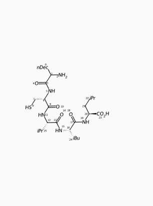 CCCCCCCCCCC(N)C(=O)N[C@@H](CS)C(=O)N[C@H](C(=O)N[C@H](C(=O)N[C@@H](CC(C)C)C(=O)O)[C@@H](C)CC)C(C)C